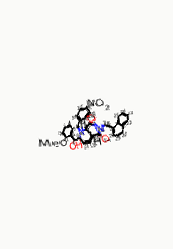 COc1ccccc1[C@@H](O)C1C=C[C@H]2C(=O)N(Cc3cccc4ccccc34)C(=O)[C@H]2N1Cc1ccc([N+](=O)[O-])cc1